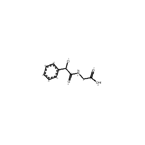 O=C(O)CNC(=O)C(Cl)c1ccccc1